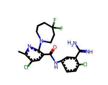 Cc1nc(N2CCCC(F)(F)CC2)c(C(=O)Nc2ccc(Cl)c(C(=N)N)c2)cc1Cl